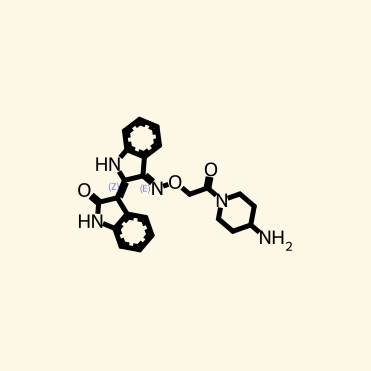 NC1CCN(C(=O)CO/N=C2/C(=C3/C(=O)Nc4ccccc43)Nc3ccccc32)CC1